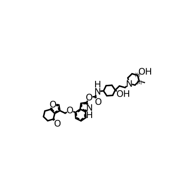 C[C@H]1CN(CCC2(O)CCC(NC(=O)Oc3cc4c(OCc5coc6c5C(=O)CCC6)cccc4[nH]3)CC2)CC[C@@H]1O